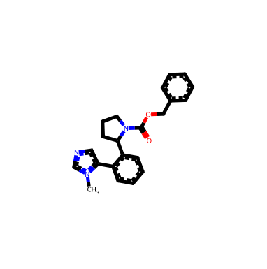 Cn1cncc1-c1ccccc1C1CCCN1C(=O)OCc1ccccc1